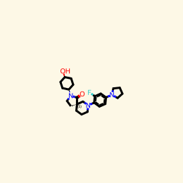 O=C1N([C@H]2CC[C@H](O)CC2)CC[C@]12CCCN(c1ccc(N3CCCC3)cc1F)C2